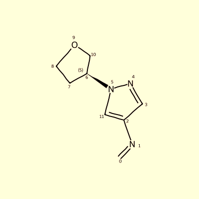 C=Nc1cnn([C@H]2CCOC2)c1